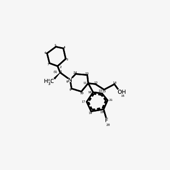 C[C@@H](C1CCCCC1)N1CCC(CCCO)(c2ccc(F)cc2)CC1